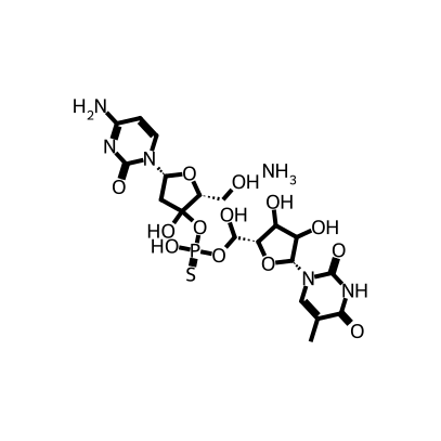 Cc1cn([C@@H]2O[C@H](C(O)OP(O)(=S)OC3(O)C[C@H](n4ccc(N)nc4=O)O[C@@H]3CO)C(O)C2O)c(=O)[nH]c1=O.N